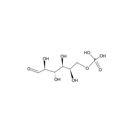 O=C[C@@H](O)[C@@H](O)[C@@H](O)[C@H](O)COP(=O)(O)O